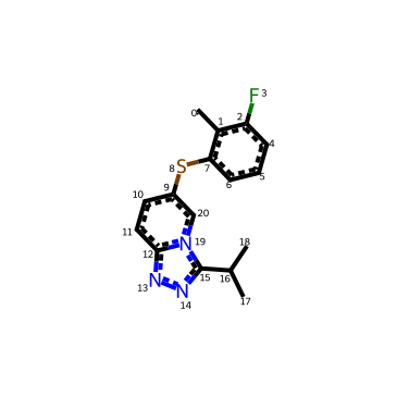 [CH2]c1c(F)cccc1Sc1ccc2nnc(C(C)C)n2c1